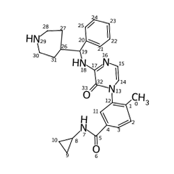 Cc1ccc(C(=O)NC2CC2)cc1-n1ccnc(NC(c2ccccc2)C2CCNCC2)c1=O